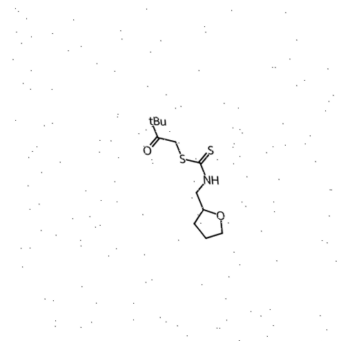 CC(C)(C)C(=O)CSC(=S)NCC1CCCO1